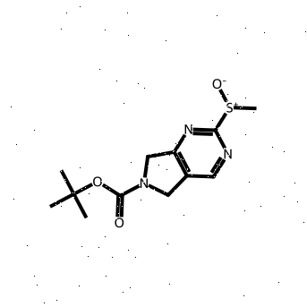 C[S+]([O-])c1ncc2c(n1)CN(C(=O)OC(C)(C)C)C2